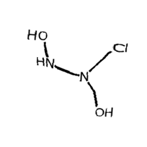 ONN(O)Cl